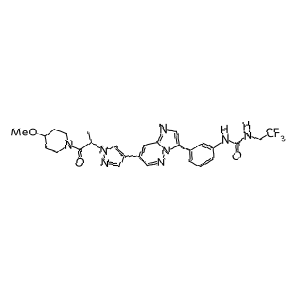 COC1CCN(C(=O)C(C)n2cc(-c3cnn4c(-c5cccc(NC(=O)NCC(F)(F)F)c5)cnc4c3)cn2)CC1